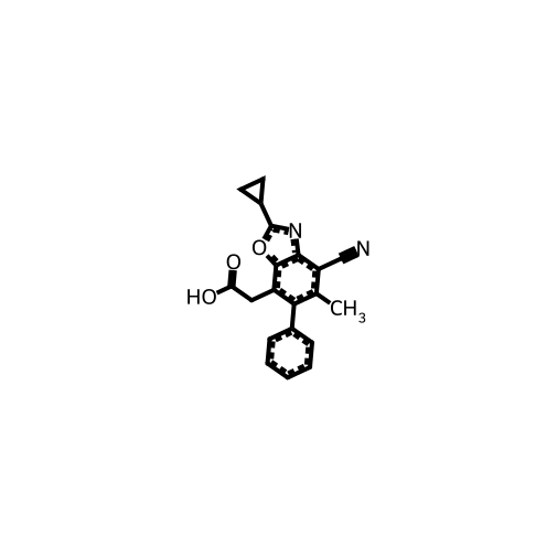 Cc1c(-c2ccccc2)c(CC(=O)O)c2oc(C3CC3)nc2c1C#N